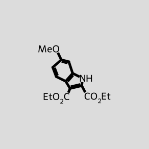 CCOC(=O)c1[nH]c2cc(OC)ccc2c1C(=O)OCC